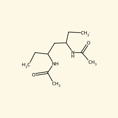 [CH2]CC(CC(C[CH2])NC(C)=O)NC(C)=O